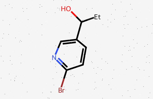 CCC(O)c1ccc(Br)nc1